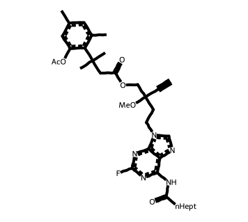 C#CC(CCn1cnc2c(NC(=O)CCCCCCC)nc(F)nc21)(COC(=O)CC(C)(C)c1c(C)cc(C)cc1OC(C)=O)OC